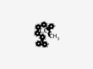 C=c1/c(=C\C=C/C)c2ccccc2n1-c1cccc(-c2cccc(-c3cccc(-c4cccc(-n5c6ccccc6c6ccccc65)c4)c3)c2)c1